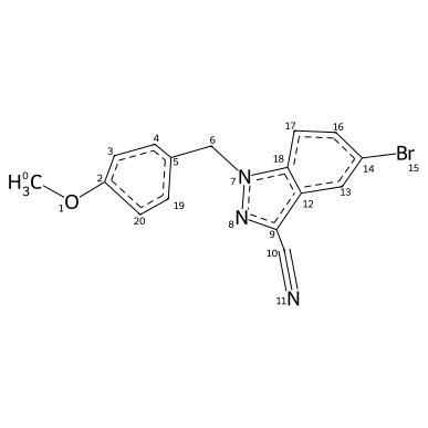 COc1ccc(Cn2nc(C#N)c3cc(Br)ccc32)cc1